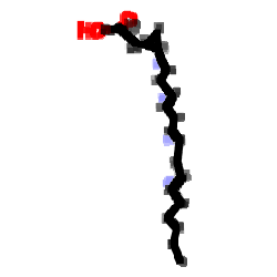 CCCCC/C=C/C/C=C/C/C=C/C/C=C1/CC1CC(=O)O